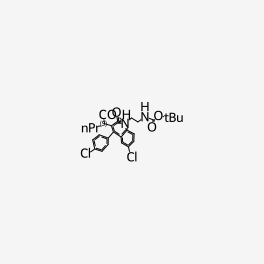 CCC[C@H](C(=O)O)c1c(-c2ccc(Cl)cc2)c2cc(Cl)ccc2n(CCNC(=O)OC(C)(C)C)c1=O